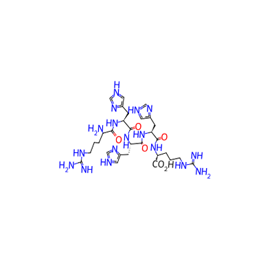 N=C(N)NCCC[C@H](NC(=O)[C@H](Cc1c[nH]cn1)NC(=O)[C@H](Cc1c[nH]cn1)NC(=O)[C@H](Cc1c[nH]cn1)NC(=O)[C@@H](N)CCCNC(=N)N)C(=O)O